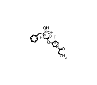 C=CC(=O)N1C[C@@H](F)[C@H](OC(=O)N[C@@H](Cc2ccccc2)B(O)O)C1